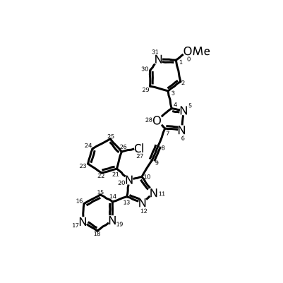 COc1cc(-c2nnc(C#Cc3nnc(-c4ccncn4)n3-c3ccccc3Cl)o2)ccn1